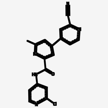 Cc1cc(-c2ccnc(C#N)c2)cc(C(=O)Nc2ccnc(Cl)c2)n1